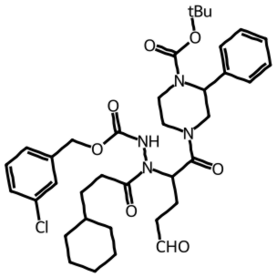 CC(C)(C)OC(=O)N1CCN(C(=O)C(CCC=O)N(NC(=O)OCc2cccc(Cl)c2)C(=O)CCC2CCCCC2)CC1c1ccccc1